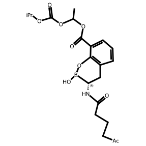 CC(=O)CCCC(=O)N[C@H]1Cc2cccc(C(=O)OC(C)OC(=O)OC(C)C)c2OB1O